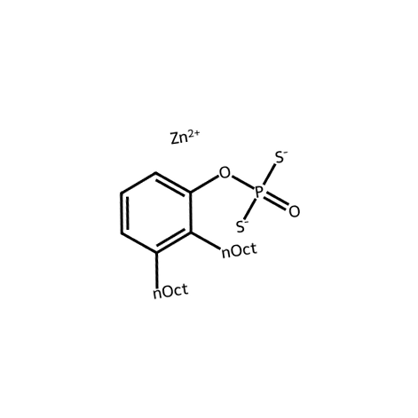 CCCCCCCCc1cccc(OP(=O)([S-])[S-])c1CCCCCCCC.[Zn+2]